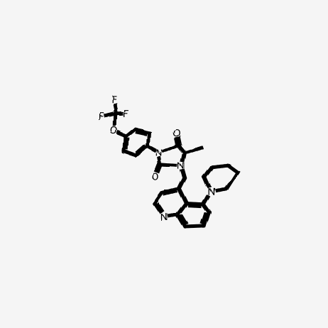 CC1C(=O)N(c2ccc(OC(F)(F)F)cc2)C(=O)N1Cc1ccnc2cccc(N3CCCCC3)c12